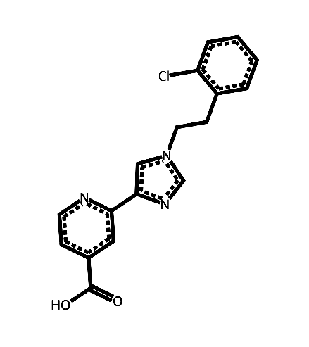 O=C(O)c1ccnc(-c2cn(CCc3ccccc3Cl)cn2)c1